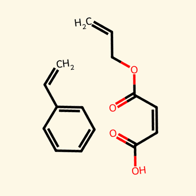 C=CCOC(=O)/C=C\C(=O)O.C=Cc1ccccc1